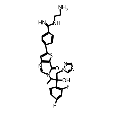 CC(n1cnc2cc(-c3ccc(C(=N)NCCN)cc3)sc2c1=O)C(O)(Cn1cncn1)c1ccc(F)cc1F